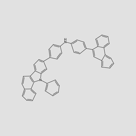 c1ccc(-n2c3cc(-c4ccc(Nc5ccc(-c6cc7ccccc7c7ccccc67)cc5)cc4)ccc3c3ccc4ccccc4c32)cc1